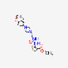 CCOC(=O)c1ccsc1NC(=O)NCCN1CCN(c2ccc(OC)cc2)CC1